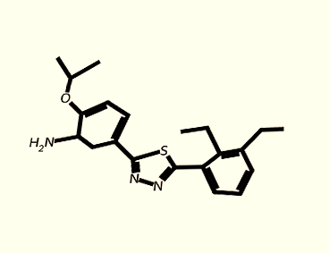 CCc1cccc(-c2nnc(C3=CC=C(OC(C)C)C(N)C3)s2)c1CC